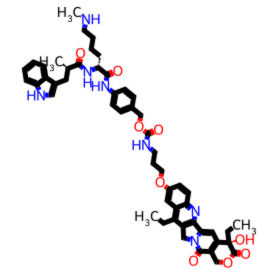 CCc1c2c(nc3ccc(OCCCNC(=O)OCc4ccc(NC(=O)[C@@H](CCCCNC)NC(=O)[C@@H](C)Cc5c[nH]c6ccccc56)cc4)cc13)-c1cc3c(c(=O)n1C2)COC(=O)[C@]3(O)CC